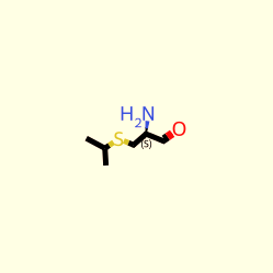 CC(C)SC[C@@H](N)C=O